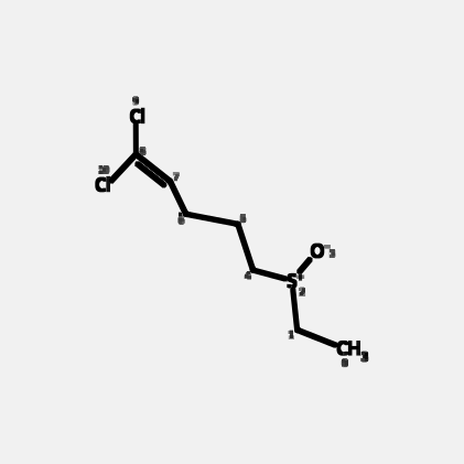 CC[S+]([O-])CC[CH]C=C(Cl)Cl